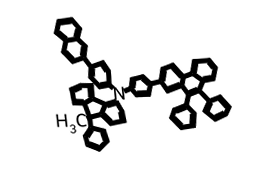 CC1(c2ccccc2)c2ccccc2-c2c(N(c3ccc(-c4ccc5ccccc5c4)cc3)c3ccc(-c4ccc5c(c4)c(-c4ccccc4)c(-c4ccccc4)c4ccccc45)cc3)cccc21